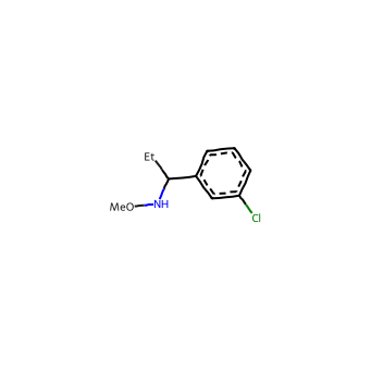 CCC(NOC)c1cccc(Cl)c1